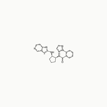 O=C(N[C@H]1CCC[C@H]1Nc1nc2ccncc2s1)c1ccccc1-n1nccn1